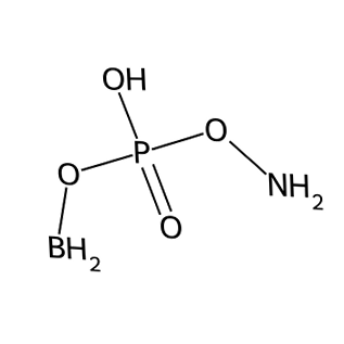 BOP(=O)(O)ON